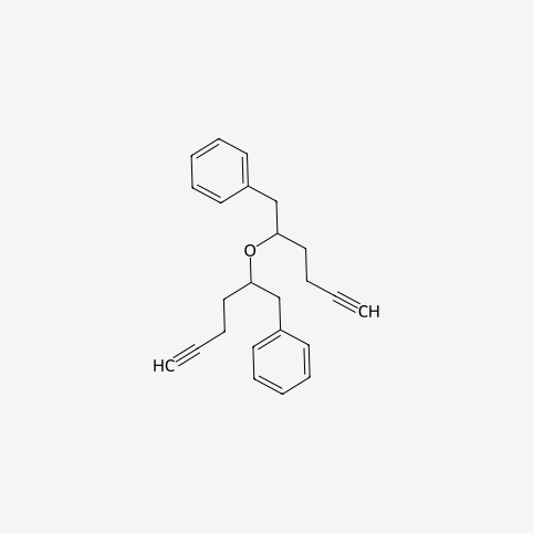 C#CCCC(Cc1ccccc1)OC(CCC#C)Cc1ccccc1